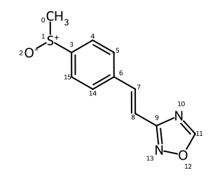 C[S+]([O-])c1ccc(C=Cc2ncon2)cc1